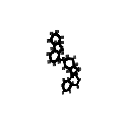 c1ccc2c(c1)CCc1nc3ccc(-c4cccc5c4sc4ccccc45)cc3n1-2